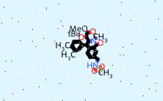 COC(=O)C(OC(C)(C)C)c1c(-c2ccc(C)c(C)c2)c2ccc(CNS(C)(=O)=O)cc2c(=O)n1C